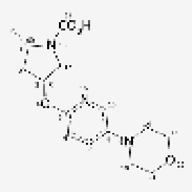 C[C@H]1C[C@@H](Oc2ccc(N3CCOCC3)cn2)CN1C(=O)O